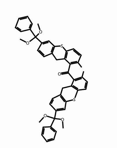 COC(OC)(c1ccccc1)c1ccc2c(c1)Sc1ccc(C)c(C(=O)c3c(C)ccc4c3Cc3ccc(C(OC)(OC)c5ccccc5)cc3S4)c1C2